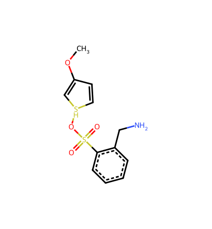 COC1=C[SH](OS(=O)(=O)c2ccccc2CN)C=C1